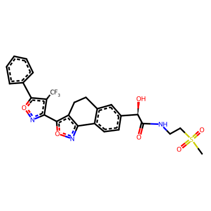 CS(=O)(=O)CCNC(=O)[C@H](O)c1ccc2c(c1)CCc1c-2noc1-c1noc(-c2ccccc2)c1C(F)(F)F